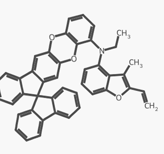 C=Cc1oc2cccc(N(CC)c3cccc4c3Oc3cc5c(cc3O4)-c3ccccc3C53c4ccccc4-c4ccccc43)c2c1C